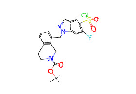 CC(C)(C)OC(=O)N1CCc2cccc(Cn3ncc4cc(S(=O)(=O)Cl)c(F)cc43)c2C1